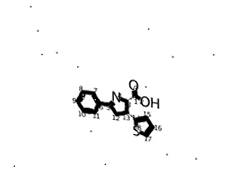 O=C(O)[C@H]1N=C(c2ccccc2)C[C@H]1c1cccs1